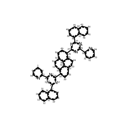 c1ccc(-c2nc(-c3cccc4ccccc34)nc(-c3ccc4ccc5c(-c6nc(-c7ccccn7)nc(-c7cccc8ccccc78)n6)ccc6ccc3c4c65)n2)nc1